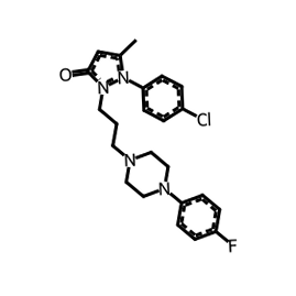 Cc1cc(=O)n(CCCN2CCN(c3ccc(F)cc3)CC2)n1-c1ccc(Cl)cc1